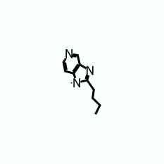 CCCCC1=Nc2cnccc2[N]1